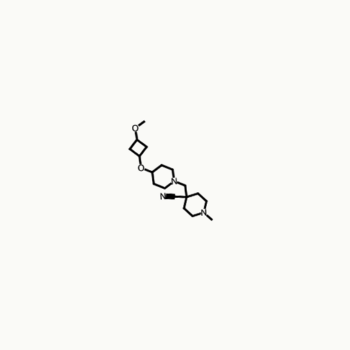 COC1CC(OC2CCN(CC3(C#N)CCN(C)CC3)CC2)C1